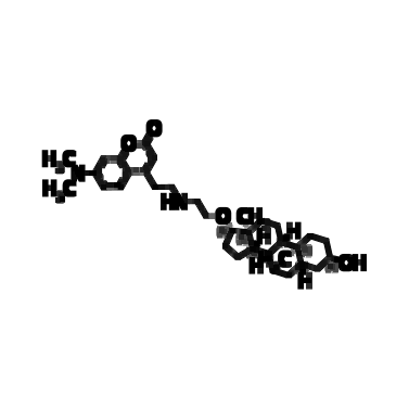 CN(C)c1ccc2c(CCNCCO[C@H]3CC[C@H]4[C@@H]5CC[C@H]6C[C@H](O)CC[C@]6(C)[C@H]5CC[C@]34C)cc(=O)oc2c1